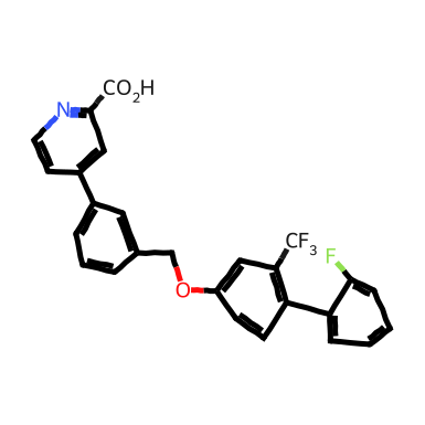 O=C(O)c1cc(-c2cccc(COc3ccc(-c4ccccc4F)c(C(F)(F)F)c3)c2)ccn1